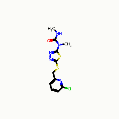 CNC(=O)N(C)c1nnc(SCc2cccc(Cl)n2)s1